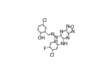 Oc1ccc(Cl)cc1C=NNc1nc2nonc2nc1Nc1ccc(F)c(Cl)c1